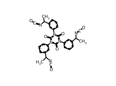 CC(N=C=O)c1cccc(-n2c(=O)n(-c3cccc(C(C)N=C=O)c3)c(=O)n(-c3cccc(C(C)N=C=O)c3)c2=O)c1